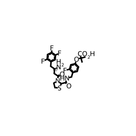 CC(C)(Oc1ccc(CNC(=O)C2SCCN2C(=O)C[C@H](N)Cc2cc(F)c(F)cc2F)c(F)c1)C(=O)O